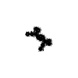 c1ccc(-c2ccc(-c3nc(-c4ccc5ccc6c(-c7nc(-c8ccc(-c9ccccn9)cc8)nc(-c8cccc9cccnc89)n7)ccc7ccc4c5c76)nc(-c4cccc5cccnc45)n3)nc2)cc1